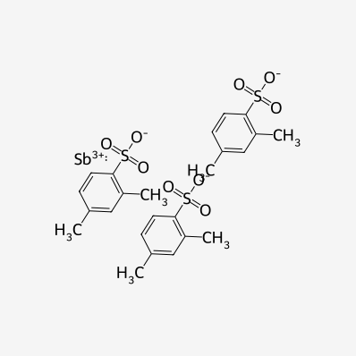 Cc1ccc(S(=O)(=O)[O-])c(C)c1.Cc1ccc(S(=O)(=O)[O-])c(C)c1.Cc1ccc(S(=O)(=O)[O-])c(C)c1.[Sb+3]